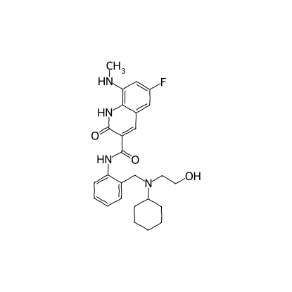 CNc1cc(F)cc2cc(C(=O)Nc3ccccc3CN(CCO)C3CCCCC3)c(=O)[nH]c12